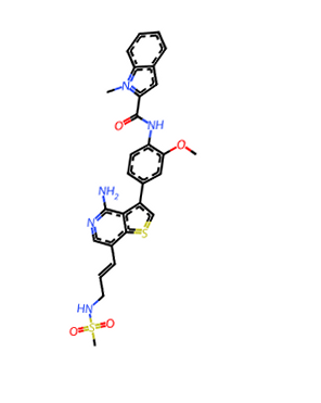 COc1cc(-c2csc3c(C=CCNS(C)(=O)=O)cnc(N)c23)ccc1NC(=O)c1cc2ccccc2n1C